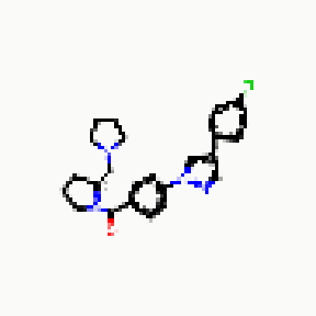 O=C(c1ccc(-n2cc(-c3ccc(Cl)cc3)cn2)cc1)N1CCC[C@H]1CN1CCCC1